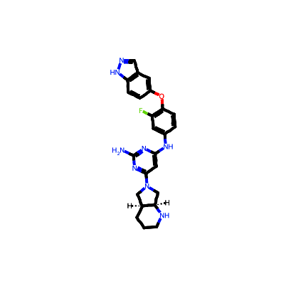 Nc1nc(Nc2ccc(Oc3ccc4[nH]ncc4c3)c(F)c2)cc(N2C[C@@H]3CCCN[C@@H]3C2)n1